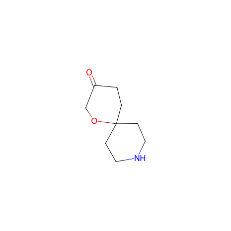 O=C1CCC2(CCNCC2)OC1